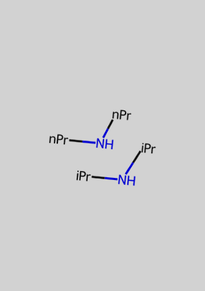 CC(C)NC(C)C.CCCNCCC